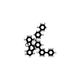 c1ccc(-c2ccc(N(c3ccc(-c4cccc(-c5ccccc5)c4)cc3)c3cccc4oc5c6ccccc6ccc5c34)cc2)cc1